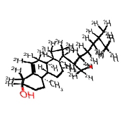 [2H]C1=C2C([2H])([2H])[C@@]([2H])(O)CC[C@]2(C)[C@H]2CC[C@]3(C)[C@@]([2H])([C@]([2H])(C([2H])([2H])[2H])C([2H])([2H])C([2H])([2H])C([2H])([2H])C([2H])(C([2H])([2H])[2H])C([2H])([2H])[2H])C([2H])([2H])C([2H])([2H])[C@@]3([2H])[C@]2([2H])C1([2H])[2H]